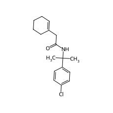 CC(C)(NC(=O)CC1=CCCCC1)c1ccc(Cl)cc1